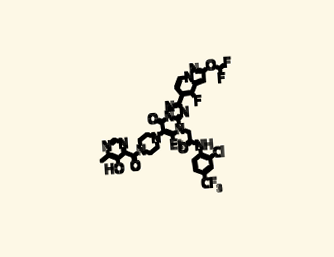 CCc1c(N2CCN(C(=O)c3ncnc(C)c3O)CC2)c(=O)n2nc(-c3ccn4nc(OC(F)F)cc4c3F)nc2n1CC(=O)Nc1ccc(C(F)(F)F)cc1Cl